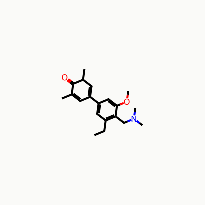 CCc1cc(C2=CC(C)C(=O)C(C)=C2)cc(OC)c1CN(C)C